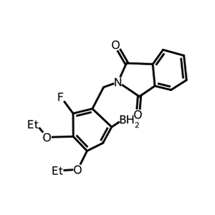 Bc1cc(OCC)c(OCC)c(F)c1CN1C(=O)c2ccccc2C1=O